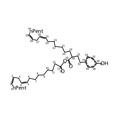 CCCCC/C=C\C/C=C\CCCCCCCC(=O)OC(=O)C(CCCCCC/C=C\C/C=C\CCCCC)CCc1ccc(O)cc1